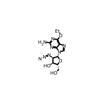 CCOc1nc(N)nc2c1ncn2[C@@H]1O[C@H](CO)[C@@H](O)[C@H]1N=[N+]=[N-]